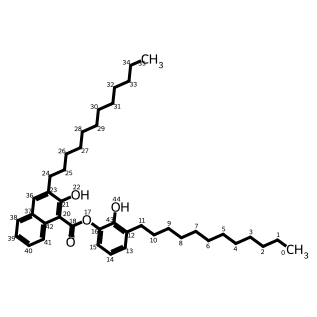 CCCCCCCCCCCCc1cccc(OC(=O)c2c(O)c(CCCCCCCCCCCC)cc3ccccc23)c1O